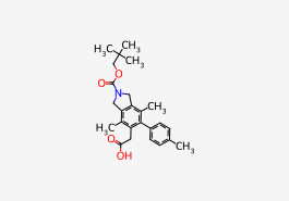 Cc1ccc(-c2c(C)c3c(c(C)c2CC(=O)O)CN(C(=O)OCC(C)(C)C)C3)cc1